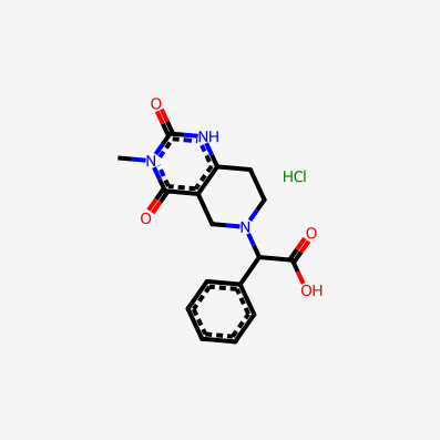 Cl.Cn1c(=O)[nH]c2c(c1=O)CN(C(C(=O)O)c1ccccc1)CC2